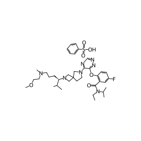 CCN(C(=O)c1cc(F)ccc1Oc1nncnc1N1CCC2(C1)CN([C@H](CCCN(C)CCOC)C(C)C)C2)C(C)C.O=S(=O)(O)c1ccccc1